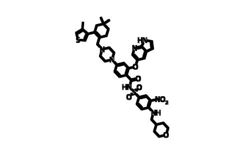 Cc1cscc1C1=C(CN2CCN(c3ccc(C(=O)NS(=O)(=O)c4ccc(NCC5CCOCC5)c([N+](=O)[O-])c4)c(Oc4cnc5[nH]ccc5c4)c3)CC2)CCC(C)(C)C1